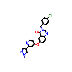 Cn1cc(-c2cc(Oc3ccc4ncn(Cc5ccc(Cl)cc5)c(=O)c4c3)ccn2)cn1